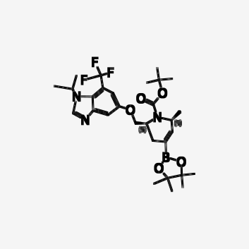 CC(C)n1cnc2cc(OC[C@@H]3CC(B4OC(C)(C)C(C)(C)O4)=C[C@H](C)N3C(=O)OC(C)(C)C)cc(C(F)(F)F)c21